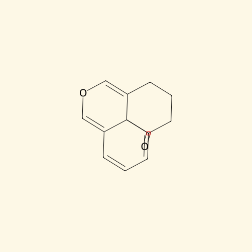 O=C1CCCC2=COC=C3C=CC=CC132